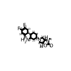 CN1C(=O)O[C@H]2CN([C@H]3CC[C@H](C4CC(F)=C(F)C=C4F)C(N)C3)C[C@H]21